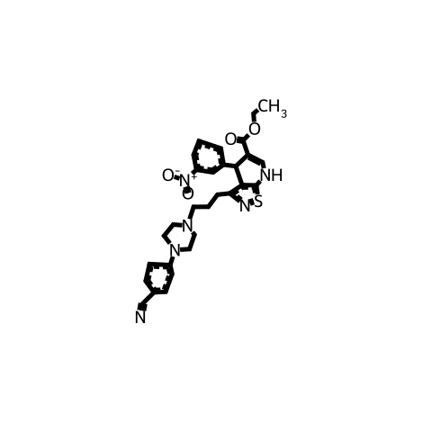 CCOC(=O)C1=CNc2snc(CCCN3CCN(c4ccc(C#N)cc4)CC3)c2C1c1cccc([N+](=O)[O-])c1